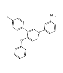 Nc1cccc(N2C=C(c3ccc(F)cc3)C(Oc3ccccc3)=CC2)c1